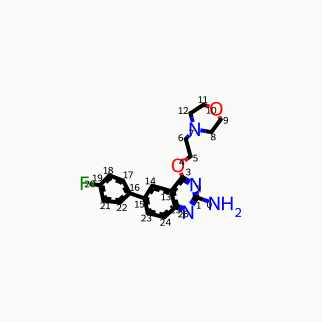 Nc1nc(OCCN2CCOCC2)c2cc(-c3ccc(F)cc3)ccc2n1